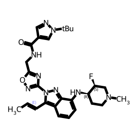 C/C=C/c1c2cccc(N[C@@H]3CCN(C)C[C@@H]3F)c2nn1-c1noc(CNC(=O)c2cnn(C(C)(C)C)c2)n1